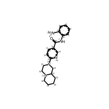 Nc1ccccc1NC(=O)c1ccc(N2CCN3CCCCC3C2)nc1